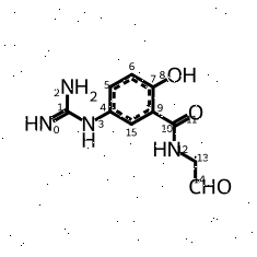 N=C(N)Nc1ccc(O)c(C(=O)N[CH]C=O)c1